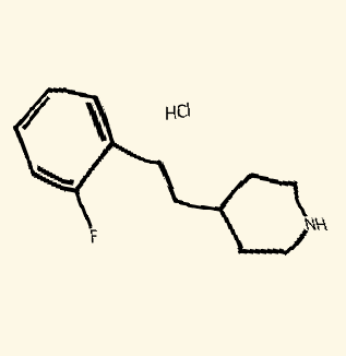 Cl.Fc1ccccc1CCC1CCNCC1